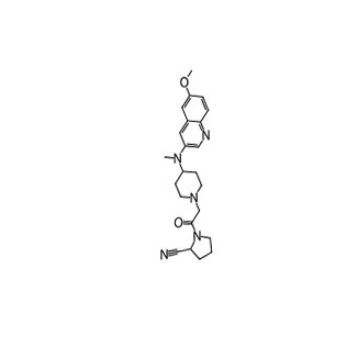 COc1ccc2ncc(N(C)C3CCN(CC(=O)N4CCCC4C#N)CC3)cc2c1